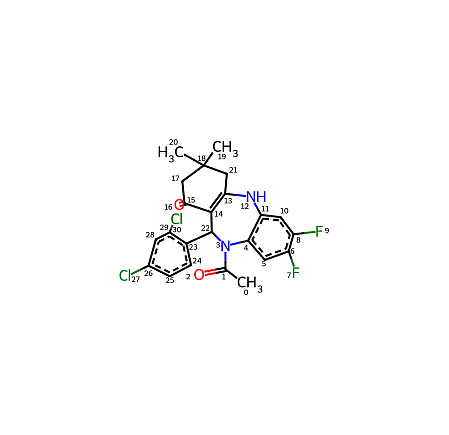 CC(=O)N1c2cc(F)c(F)cc2NC2=C(C(=O)CC(C)(C)C2)C1c1ccc(Cl)cc1Cl